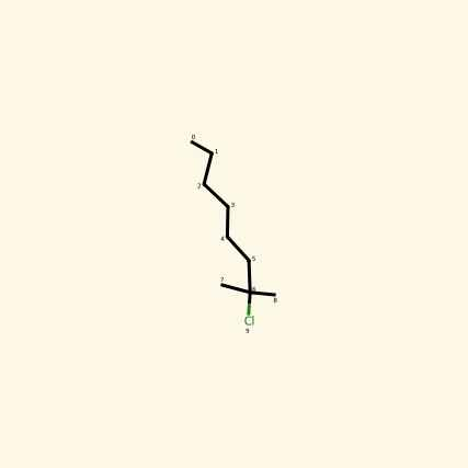 CCCCCCC(C)(C)Cl